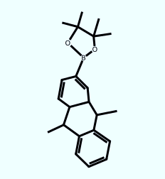 CC1c2ccccc2C(C)C2C=C(B3OC(C)(C)C(C)(C)O3)C=CC12